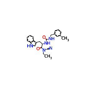 CCN(C#N)C(=O)C(Cc1c[nH]c2ccccc12)NC(=O)NCc1cccc(C)c1